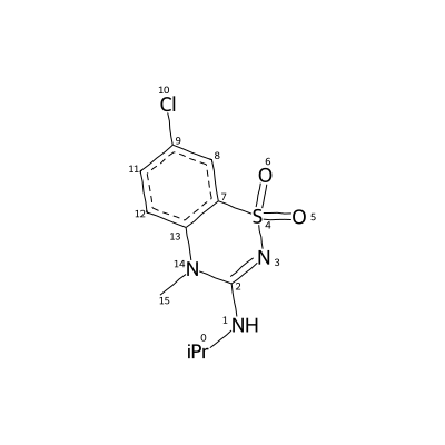 CC(C)NC1=NS(=O)(=O)c2cc(Cl)ccc2N1C